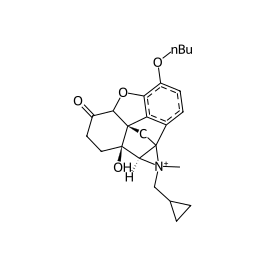 CCCCOc1ccc2c3c1OC1C(=O)CC[C@@]4(O)[C@H]5C2(C[C@]314)[N+]5(C)CC1CC1